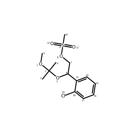 COC(C)(C)OC(COS(C)(=O)=O)c1ccccc1Cl